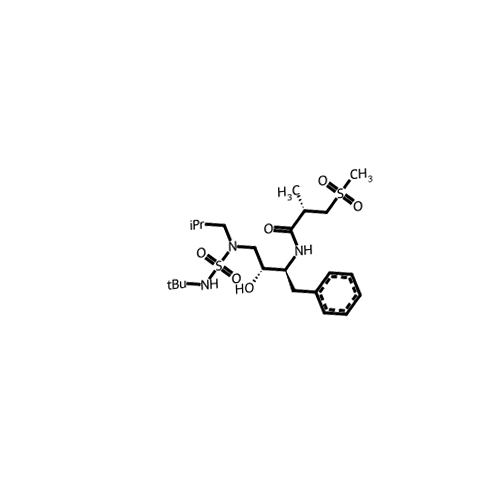 CC(C)CN(C[C@@H](O)[C@H](Cc1ccccc1)NC(=O)[C@H](C)CS(C)(=O)=O)S(=O)(=O)NC(C)(C)C